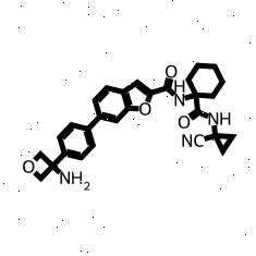 N#CC1(NC(=O)C2(NC(=O)c3cc4ccc(-c5ccc(C6(N)COC6)cc5)cc4o3)CCCCC2)CC1